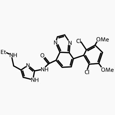 CCNCc1c[nH]c(NC(=O)c2ccc(-c3c(Cl)c(OC)cc(OC)c3Cl)c3nccnc23)n1